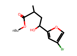 CCCCOC(=O)C(C)CC(O)c1cc(Br)co1